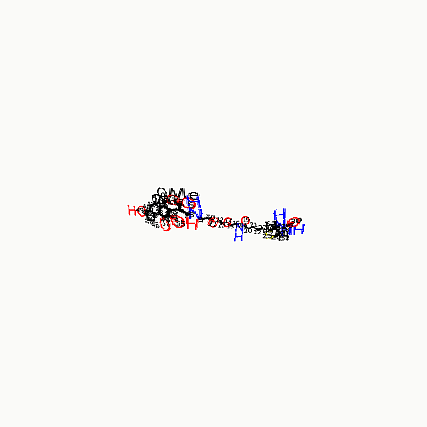 COC[C@H]1OC(=O)C(=CNCCOCCOCCNC(=O)CCCC[C@H]2SC[C@H]3NC(=O)N[C@H]32)C2=C(O)C(=O)C3=C([C@H](OC(C)=O)C[C@@]4(C)C3CC[C@@H]4O)[C@]21C